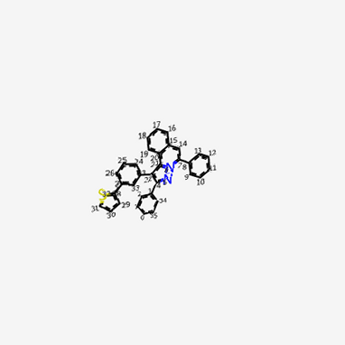 c1ccc(-c2nn3c(-c4ccccc4)cc4ccccc4c3c2-c2cccc(-c3cccs3)c2)cc1